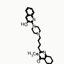 Cn1c(CCCCN2CCN(c3nc4ccccc4cc3O)CC2)nc2c(c1=O)CCCC2